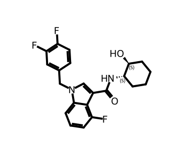 O=C(N[C@H]1CCCC[C@@H]1O)c1cn(Cc2ccc(F)c(F)c2)c2cccc(F)c12